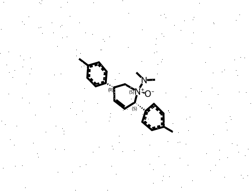 Cc1ccc([C@H]2C=C[C@@H](c3ccc(C)cc3)[N@+]([O-])(N(C)C)C2)cc1